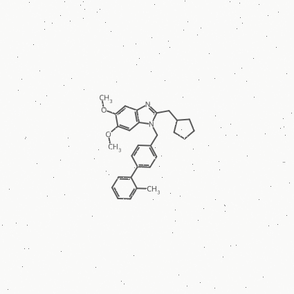 COc1cc2nc(CC3CCCC3)n(Cc3ccc(-c4ccccc4C)cc3)c2cc1OC